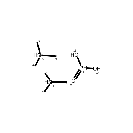 C[SiH](C)C.C[SiH](C)C.O=[PH](O)O